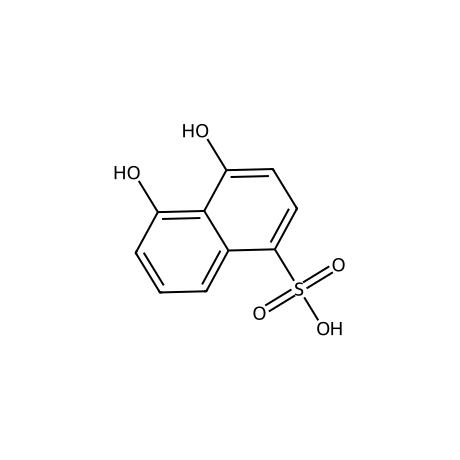 O=S(=O)(O)c1ccc(O)c2c(O)cccc12